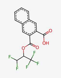 O=C(O)c1cc2ccccc2cc1C(=O)OC(C(F)F)C(F)(F)F